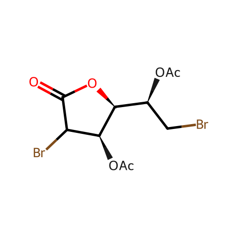 CC(=O)O[C@@H](CBr)[C@@H]1OC(=O)C(Br)[C@@H]1OC(C)=O